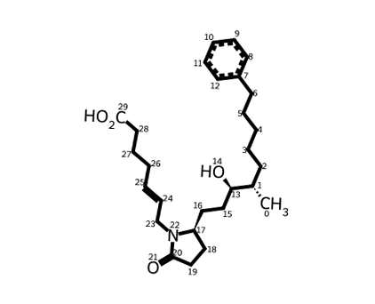 C[C@@H](CCCCCc1ccccc1)[C@H](O)CC[C@H]1CCC(=O)N1CC=CCCCC(=O)O